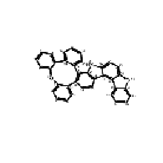 c1ccc2c(c1)oc1ccccc1c1ccc3c([nH]c4ccc5oc6ccccc6c5c43)c1c1ccccc21